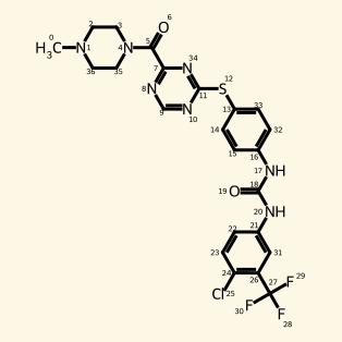 CN1CCN(C(=O)c2ncnc(Sc3ccc(NC(=O)Nc4ccc(Cl)c(C(F)(F)F)c4)cc3)n2)CC1